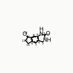 O=C1NCc2cc3c(cc2N1)C(=O)[C]C3